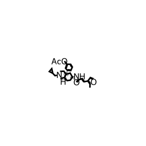 CC(=O)Oc1cccc([C@@]23CCN(CC4CC4)C[C@H]2CC[C@@H](NC(=O)C=Cc2ccoc2C)C3)c1